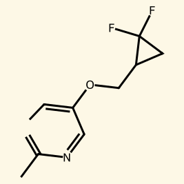 C=C(C)/N=C\C(=C/C)OCC1CC1(F)F